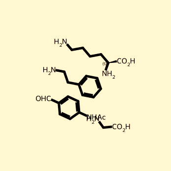 CC(=O)Nc1ccc(C=O)cc1.NCC(=O)O.NCCCC[C@H](N)C(=O)O.NCCc1ccccc1